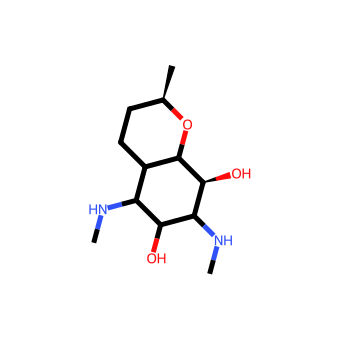 CNC1C(O)C(NC)[C@H](O)C2O[C@H](C)CCC12